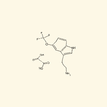 NCCc1c[nH]c2ccc(OC(F)(F)F)cc12.O=C(O)C(=O)O